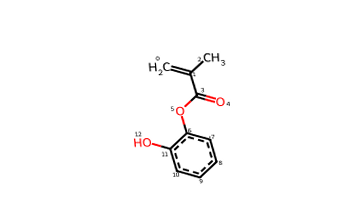 C=C(C)C(=O)Oc1[c]cccc1O